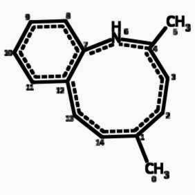 Cc1ccc(C)[nH]c2ccccc2cc1